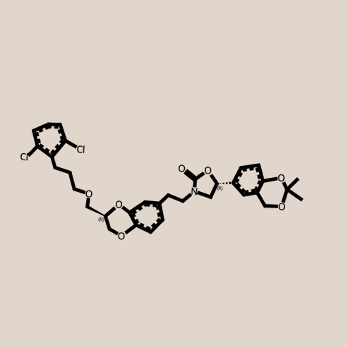 CC1(C)OCc2cc([C@@H]3CN(CCc4ccc5c(c4)O[C@H](COCCCc4c(Cl)cccc4Cl)CO5)C(=O)O3)ccc2O1